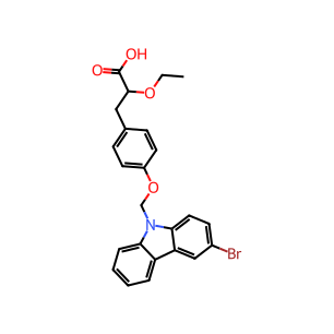 CCOC(Cc1ccc(OCn2c3ccccc3c3cc(Br)ccc32)cc1)C(=O)O